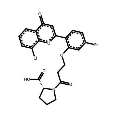 O=C(O)[C@H]1CCCN1C(=O)CCOc1cc(Br)ccc1-c1cc(=O)c2cccc(Cl)c2o1